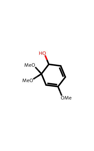 COC1=CC(OC)(OC)C(O)C=C1